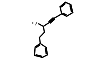 CC(C#Cc1ccccc1)CCc1ccccc1